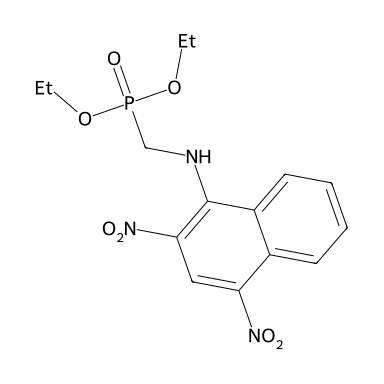 CCOP(=O)(CNc1c([N+](=O)[O-])cc([N+](=O)[O-])c2ccccc12)OCC